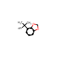 CCCC(C)(C)c1cccc2c1OCO2